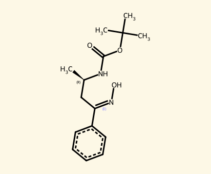 C[C@H](C/C(=N\O)c1ccccc1)NC(=O)OC(C)(C)C